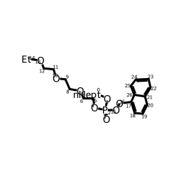 CCCCCCCOP(=O)(OCCOCCOCCOCC)OOc1cccc2ccccc12